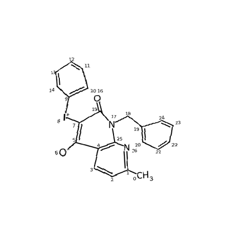 Cc1ccc2c([O-])c([I+]c3ccccc3)c(=O)n(Cc3ccccc3)c2n1